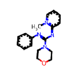 Cn1ccccc1=NC(=Nc1ccccc1)N1CCOCC1